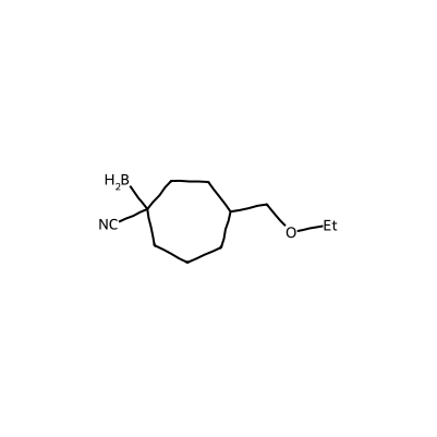 BC1(C#N)CCCC(COCC)CC1